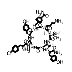 CC(O)[C@@H]1NC(=O)[C@H](CCCCN)NC(=O)[C@@H](Cc2ccc(C(N)=O)cc2)NC(=O)[C@H](Cc2ccc(O)cc2)NC(=O)[C@@H](NC(=O)[C@@H](N)Cc2ccc(Cl)cc2)CNC(=O)SC[C@@H](C(=O)N[C@H](Cc2ccc(O)cc2)C(N)=O)NC1=O